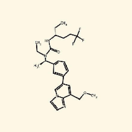 CC[C@H](CCC(F)(F)F)NC(=O)N(CC)[C@H](C)c1cccc(-c2cc(COC)c3nccn3c2)c1